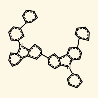 c1ccc(-c2cccc(-n3c4ccccc4c4cc(-c5ccc6c(c5)c5cc(-c7ccccc7)ccc5n6-c5ccccc5)ccc43)c2)cc1